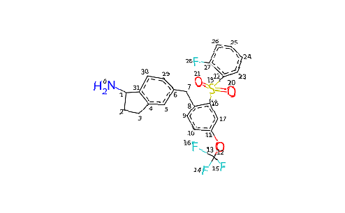 NC1CCc2cc(Cc3ccc(OC(F)(F)F)cc3S(=O)(=O)c3ccccc3F)ccc21